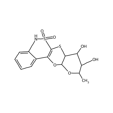 CC1OC2OC3=C(SC2C(O)C1O)S(=O)(=O)Nc1ccccc13